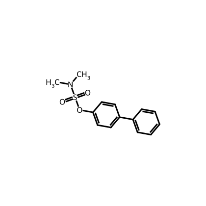 CN(C)S(=O)(=O)Oc1ccc(-c2ccccc2)cc1